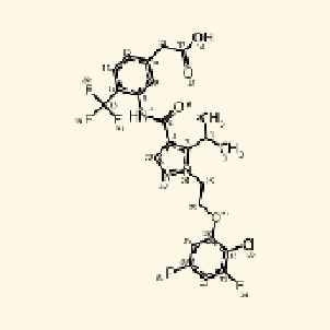 CC(C)c1c(C(=O)Nc2cc(CC(=O)O)ccc2C(F)(F)F)cnn1CCOc1cc(F)cc(F)c1Cl